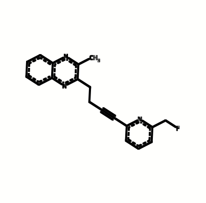 Cc1nc2ccccc2nc1CCC#Cc1cccc(CF)n1